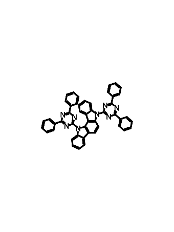 c1ccc(-c2nc(-c3ccccc3)nc(-n3c4ccccc4c4c3ccc3c5ccccc5n(-c5nc(-c6ccccc6)nc(-c6ccccc6)n5)c34)n2)cc1